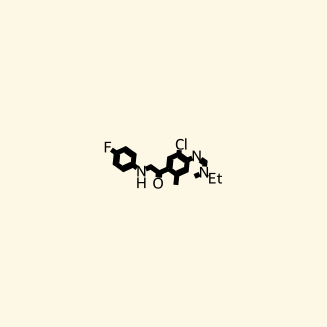 CCN(C)/C=N\c1cc(C)c(C(=O)CNc2ccc(F)cc2)cc1Cl